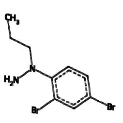 CCCN(N)c1ccc(Br)cc1Br